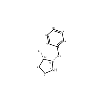 C[C@H]1CCN[C@H]1Cc1ccccc1